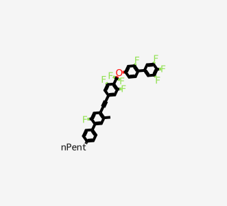 CCCCCc1ccc(-c2cc(C)c(C#Cc3cc(F)c(C(F)(F)Oc4ccc(-c5cc(F)c(F)c(F)c5)c(F)c4)c(F)c3)cc2F)cc1